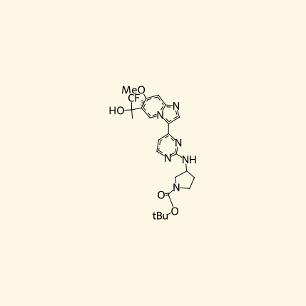 COc1cc2ncc(-c3ccnc(NC4CCN(C(=O)OC(C)(C)C)C4)n3)n2cc1C(C)(O)C(F)(F)F